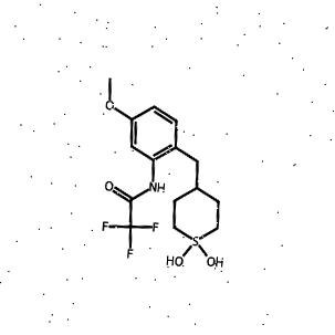 COc1ccc(CC2CCS(O)(O)CC2)c(NC(=O)C(F)(F)F)c1